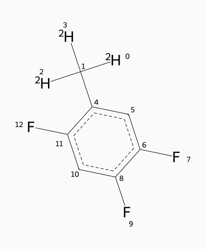 [2H]C([2H])([2H])c1cc(F)c(F)cc1F